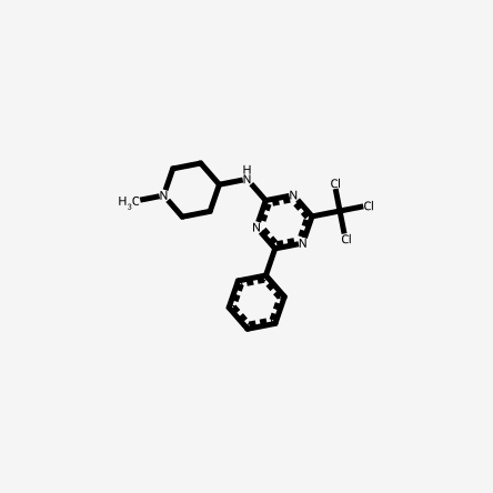 CN1CCC(Nc2nc(-c3ccccc3)nc(C(Cl)(Cl)Cl)n2)CC1